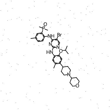 Cc1ccc(Nc2nc(Nc3cc(C)c(C4CCN(C5CCOCC5)CC4)cc3OC(C)C)ncc2Br)c(P(C)(C)=O)c1